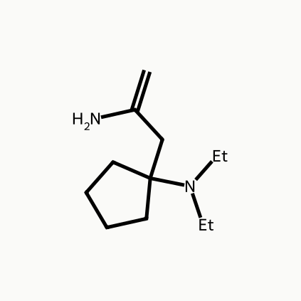 C=C(N)CC1(N(CC)CC)CCCC1